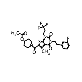 CC(=O)OC1CCN(C(=O)c2sc3c(c2C)c(=O)n(CCc2cccc(F)c2)c(=O)n3CCC(F)(F)F)CC1